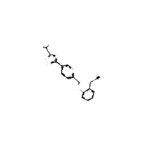 CC(F)c1nnc(-c2ccc(COc3ccccc3CC#N)nc2)o1